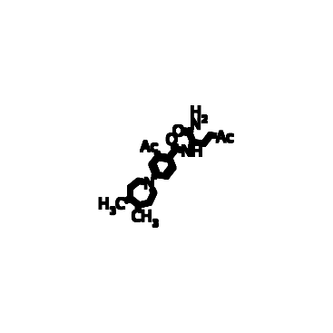 CC(=O)CCC(NC(=O)c1ccc(N2CCC(C)C(C)CC2)cc1C(C)=O)C(N)=O